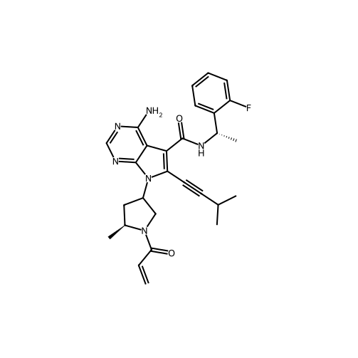 C=CC(=O)N1CC(n2c(C#CC(C)C)c(C(=O)N[C@@H](C)c3ccccc3F)c3c(N)ncnc32)C[C@@H]1C